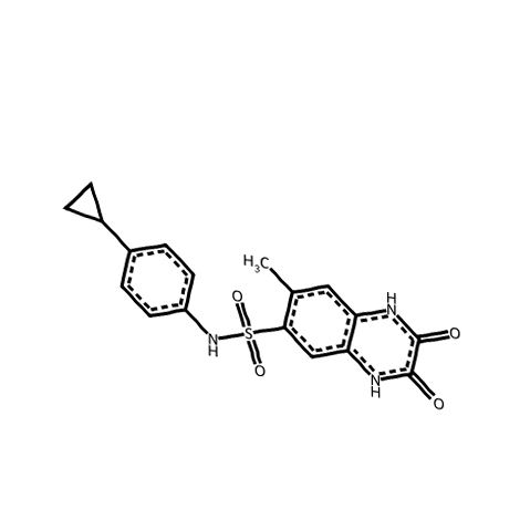 Cc1cc2[nH]c(=O)c(=O)[nH]c2cc1S(=O)(=O)Nc1ccc(C2CC2)cc1